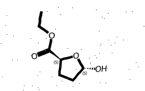 CCOC(=O)[C@@H]1CC[C@@H](O)O1